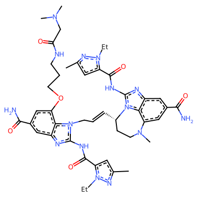 CCn1nc(C)cc1C(=O)Nc1nc2cc(C(N)=O)cc(OCCCNC(=O)CN(C)C)c2n1C/C=C/[C@H]1CCN(C)c2cc(C(N)=O)cc3nc(NC(=O)c4cc(C)nn4CC)n1c23